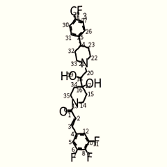 O=C(C=Cc1cc(F)c(F)c(F)c1)N1CCC(O)(C(O)CN2CCC(c3ccc(C(F)(F)F)cc3)CC2)CC1